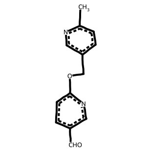 Cc1ccc(COc2ccc(C=O)cn2)cn1